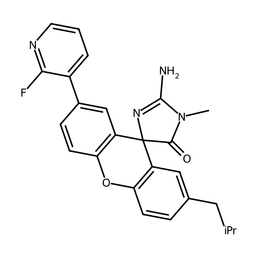 CC(C)Cc1ccc2c(c1)C1(N=C(N)N(C)C1=O)c1cc(-c3cccnc3F)ccc1O2